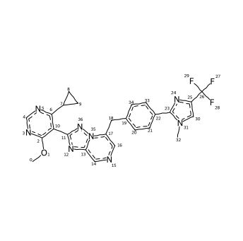 COc1ncnc(C2CC2)c1-c1nc2cncc(Cc3ccc(-c4nc(C(F)(F)F)cn4C)cc3)n2n1